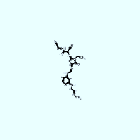 CCn1c(=C=C(C#N)C(=O)NCC#N)sc(=C=CNc2cccc(NCCOC)c2)c1=O